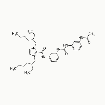 CCCCC(CC)Cn1cc[n+](CC(CC)CCCC)c1C(=O)Nc1cccc(NC(=O)Nc2cccc(NC(C)=O)c2)c1